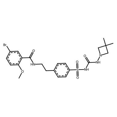 COc1ccc(Br)cc1C(=O)NCCc1ccc(S(=O)(=O)NC(=O)NN2CC(C)(C)C2)cc1